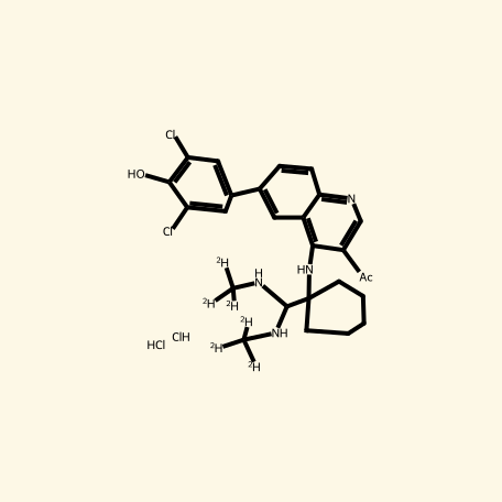 Cl.Cl.[2H]C([2H])([2H])NC(NC([2H])([2H])[2H])C1(Nc2c(C(C)=O)cnc3ccc(-c4cc(Cl)c(O)c(Cl)c4)cc23)CCCCC1